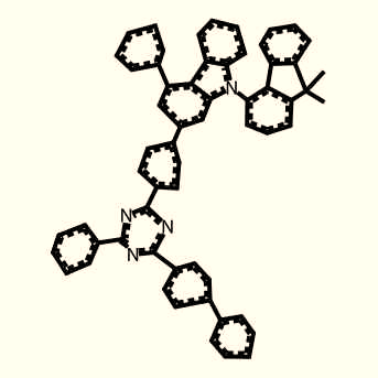 CC1(C)c2ccccc2-c2c(-n3c4ccccc4c4c(-c5ccccc5)cc(-c5ccc(-c6nc(-c7ccccc7)nc(-c7ccc(-c8ccccc8)cc7)n6)cc5)cc43)cccc21